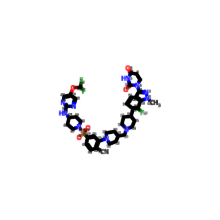 Cn1nc(N2CCC(=O)NC2=O)c2ccc(C3CCN(CC4CCN(c5cc(S(=O)(=O)N6CCC(Nc7ncc(OC(F)F)cn7)CC6)ccc5C#N)CC4)CC3)c(F)c21